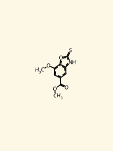 COC(=O)c1cc(OC)c2oc(=S)[nH]c2c1